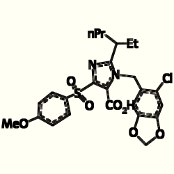 CCCC(CC)c1nc(S(=O)(=O)c2ccc(OC)cc2)c(C(=O)O)n1Cc1cc2c(cc1Cl)OCO2